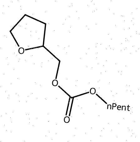 CCCCCOC(=O)OCC1CCCO1